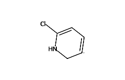 ClC1=CC=[C]CN1